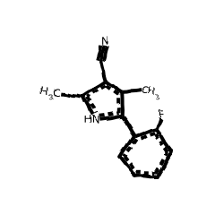 Cc1[nH]c(-c2ccccc2F)c(C)c1C#N